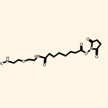 O=CNCCOCCNC(=O)CCCCCCC(=O)ON1C(=O)CCC1=O